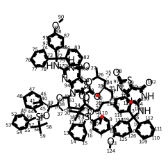 CC[C@H](O[Si](c1ccccc1)(c1ccccc1)C(C)(C)C)[C@@H]1C[C@@H]([C@@H](C)C(C)OC(=O)OC(C)[C@H](C)[C@@H]2C[C@@H]([C@H](CC)O[Si](c3ccccc3)(c3ccccc3)C(C)(C)C)O[C@H]2n2c(=O)sc3c(=O)[nH]c(NC(c4ccccc4)(c4ccccc4)c4ccc(OC)cc4)nc32)[C@H](n2c(=O)sc3c(=O)[nH]c(NC(c4ccccc4)(c4ccccc4)c4ccc(OC)cc4)nc32)O1